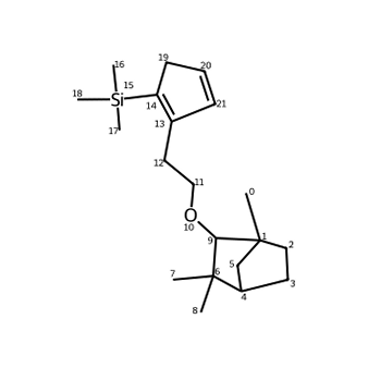 CC12CCC(C1)C(C)(C)C2OCCC1=C([Si](C)(C)C)CC=C1